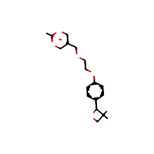 CC12OCC(COCCOc3ccc(C4OCC4(C)C)cc3)(CO1)CO2